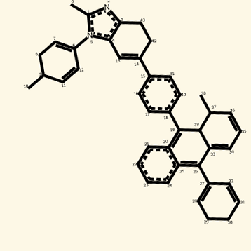 Cc1nc2c(n1C1=CCC(C)C=C1)C=C(c1ccc(C3=c4ccccc4=C(C4=CCCC=C4)C4=CC=CC(C)C43)cc1)CC2